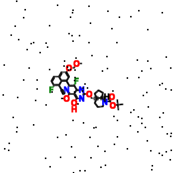 C#Cc1c(F)ccc2cc(OCOC)cc(-c3nc(OC)c4c(O)nc(OC[C@]56CCC[C@H]5N(C(=O)OC(C)(C)C)CCC6)nc4c3F)c12